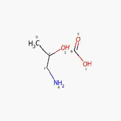 CC(O)CN.O=CO